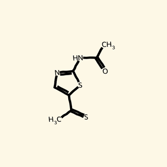 CC(=O)Nc1ncc(C(C)=S)s1